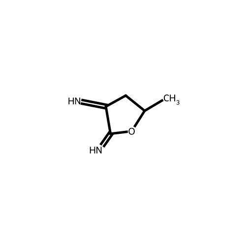 CC1CC(=N)C(=N)O1